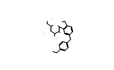 CCc1ccc(Cc2ccc3c(c2)[C@]2(OC3)OC(CO)[C@@H](O)C(O)C2O)cc1